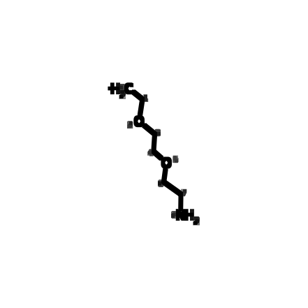 [CH2]COCCOCCN